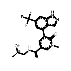 C[C@@H](O)CNC(=O)c1cc(-c2cc(C(F)(F)F)cc3[nH]ncc23)c(=O)n(C)c1